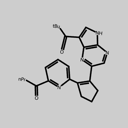 CCCC(=O)c1cccc(C2=C(c3cnc4[nH]cc(C(=O)C(C)(C)C)c4n3)CCC2)n1